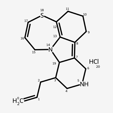 C=CCC1CNCC2=C3CCCC4=C3N(CC=CS4)C21.Cl